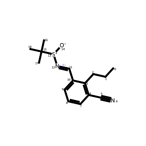 CCCc1c(C#N)cccc1/C=N/[S+]([O-])C(C)(C)C